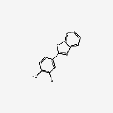 Oc1ccc(-c2nc3ccccc3o2)cc1Cl